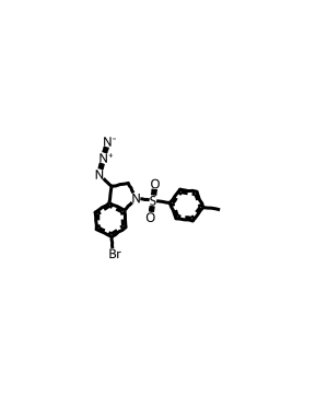 Cc1ccc(S(=O)(=O)N2CC(N=[N+]=[N-])c3ccc(Br)cc32)cc1